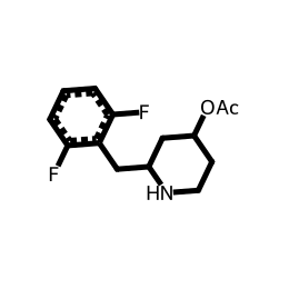 CC(=O)OC1CCNC(Cc2c(F)cccc2F)C1